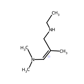 CCNC/C(C)=C\N(C)C